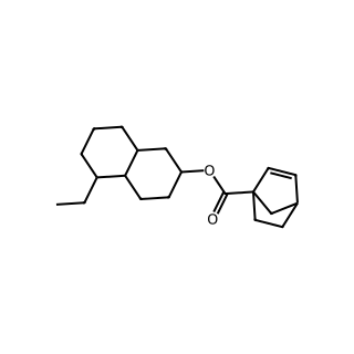 CCC1CCCC2CC(OC(=O)C34C=CC(CC3)C4)CCC12